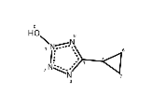 On1nnc(C2CC2)n1